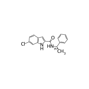 C[C@@H](NC(=O)c1cc2ccc(Cl)cc2[nH]1)c1ccccc1